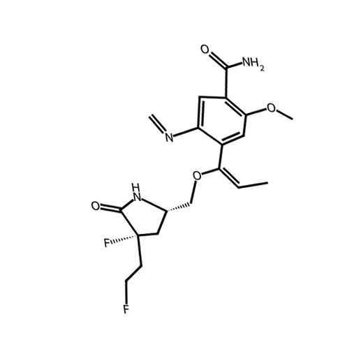 C=Nc1cc(C(N)=O)c(OC)cc1/C(=C\C)OC[C@@H]1C[C@@](F)(CCF)C(=O)N1